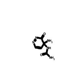 NC(=O)NC1(N)C=CN=NC1=O